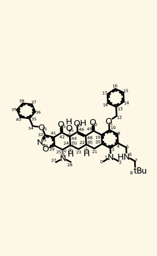 CN(C)c1c(CNCC(C)(C)C)cc(OCc2ccccc2)c2c1C[C@H]1C[C@H]3[C@H](N(C)C)c4onc(OCc5ccccc5)c4C(=O)[C@@]3(O)C(O)=C1C2=O